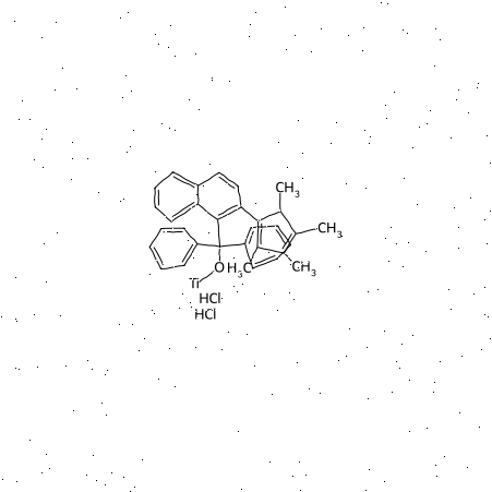 CC1=C(C)C(C)C(c2ccc3ccccc3c2C([O][Ti])(c2ccccc2)c2ccccc2)=C1C.Cl.Cl